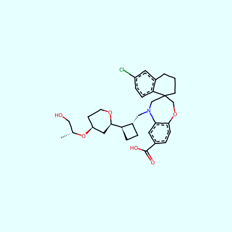 C[C@H](CO)O[C@H]1CCO[C@@H]([C@@H]2CC[C@H]2CN2CC3(CCCc4cc(Cl)ccc43)COc3ccc(C(=O)O)cc32)C1